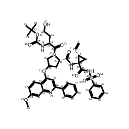 C=C[C@@H]1C[C@]1(NC(=O)[C@@H]1CC(Oc2cc(-c3ccccc3)nc3cc(OC)ccc23)CN1C(=O)[C@H](CCO)NC(=O)OC(C)(C)C)C(=O)NS(=O)(=O)c1ccccc1